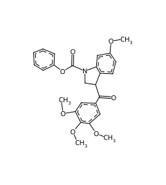 COc1ccc2c(c1)N(C(=O)Oc1ccccc1)CC2C(=O)c1cc(OC)c(OC)c(OC)c1